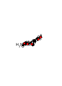 Cc1cc(N2CCN(S(=O)(=O)C3CC3)CC2)cnc1N1CCN(OC(=O)NC2[C@@H]3CC4C[C@H]2CC(C(N)=O)(C4)C3)c2ccccc21